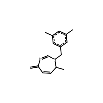 C=C1C=CC(C)N(Cc2cc(C)cc(C)c2)C=N1